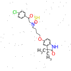 CC1(C)C(=O)Nc2ccc(OCCCC=[N+](CC(=O)c3ccc(Cl)cc3)OS)cc21